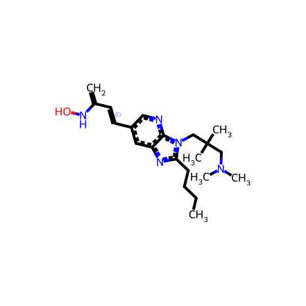 C=C(/C=C/c1cnc2c(c1)nc(CCCC)n2CC(C)(C)CN(C)C)NO